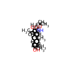 CC(C)C1=C2[C@H]3CC[C@@H]4[C@@]5(C)CC[C@H](O)C(C)(C)[C@@H]5CC[C@@]4(C)[C@]3(C)CC[C@@]2(NC(=O)OC(C)(C)C)CC1=O